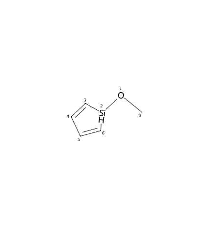 CO[SiH]1C=CC=C1